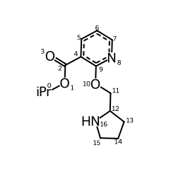 CC(C)OC(=O)c1cccnc1OCC1CCCN1